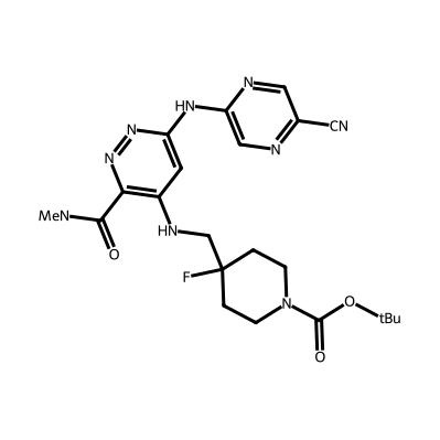 CNC(=O)c1nnc(Nc2cnc(C#N)cn2)cc1NCC1(F)CCN(C(=O)OC(C)(C)C)CC1